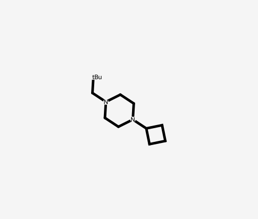 CC(C)(C)CN1CCN(C2CCC2)CC1